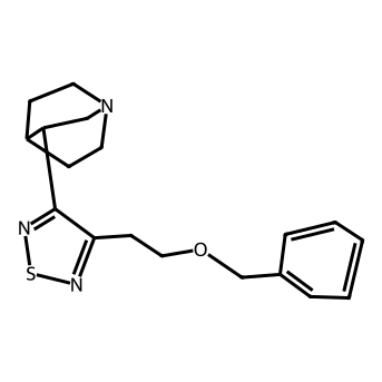 c1ccc(COCCc2nsnc2C2CN3CCC2CC3)cc1